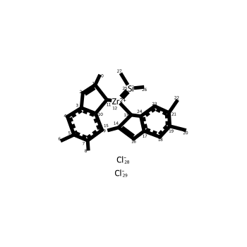 CC1=Cc2cc(C)c(C)cc2[CH]1[Zr+2]([CH]1C(C)=Cc2cc(C)c(C)cc21)=[Si](C)C.[Cl-].[Cl-]